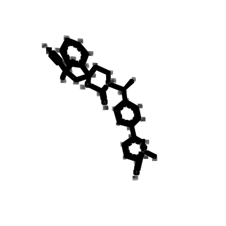 C[C@@H](c1ccc(-c2ccc(=O)n(C)n2)cc1)N1CCC(CC(C)(C)C#N)(c2ccccc2)OC1=O